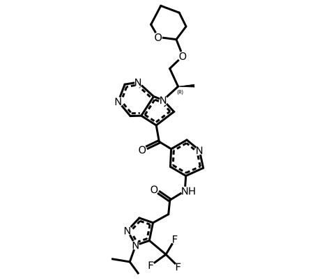 CC(C)n1ncc(CC(=O)Nc2cncc(C(=O)c3cn([C@H](C)COC4CCCCO4)c4ncncc34)c2)c1C(F)(F)F